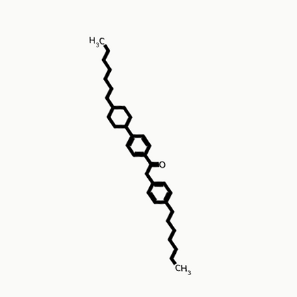 CCCCCCCc1ccc(CC(=O)c2ccc(C3CCC(CCCCCCC)CC3)cc2)cc1